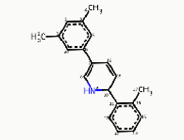 Cc1cc(C)cc(C2=CNC(c3ccccc3C)C=C2)c1